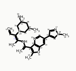 C=C/C(=C(\C)NC(=C)c1c(C)oc2cc(-c3cnn(C)c3)cnc12)N1C[C@H](C)C[C@H](N)C1